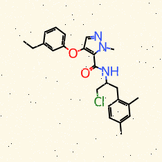 CCc1cccc(Oc2cnn(C)c2C(=O)NC(CCl)Cc2ccc(C)cc2C)c1